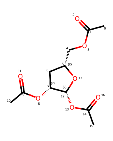 CC(=O)OC[C@H]1C[C@@H](OC(C)=O)[C@@H](OC(C)=O)O1